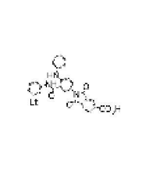 CCc1cccc(NC(=O)c2cc(N3C(=O)c4ccc(C(=O)O)cc4C3=O)ccc2Nc2ccccc2)c1